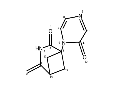 C=C1NC(=O)C2(n3ccncc3=O)CC1C2